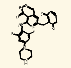 O=c1[nH]ncc2cc(Cc3c(Cl)cccc3Cl)nc(Nc3c(F)cc(N4CCNCC4)cc3F)c12